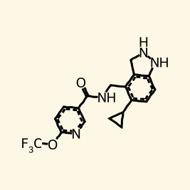 O=C(NCc1c(C2CC2)ccc2c1CNN2)c1ccc(OC(F)(F)F)nc1